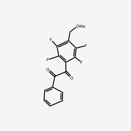 COCc1c(F)c(F)c(C(=O)C(=O)c2ccccc2)c(F)c1F